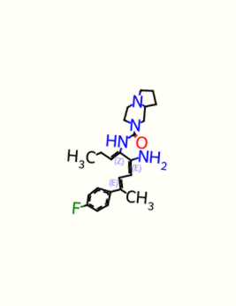 CC/C=C(NC(=O)N1CCN2CCCC2C1)/C(N)=C\C=C(/C)c1ccc(F)cc1